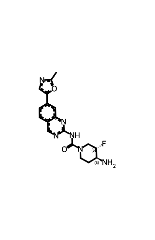 Cc1ncc(-c2ccc3cnc(NC(=O)N4CC[C@H](N)[C@@H](F)C4)nc3c2)o1